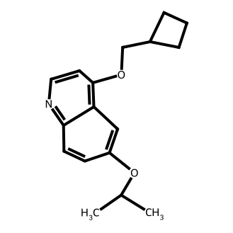 CC(C)Oc1ccc2nccc(OCC3CCC3)c2c1